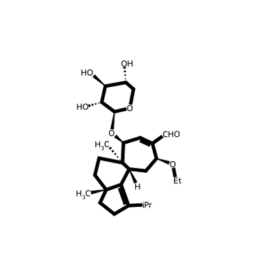 CCO[C@H]1C[C@@H]2C3=C(C(C)C)CC[C@]3(C)CC[C@@]2(C)[C@@H](O[C@@H]2OC[C@@H](O)[C@H](O)[C@H]2O)C=C1C=O